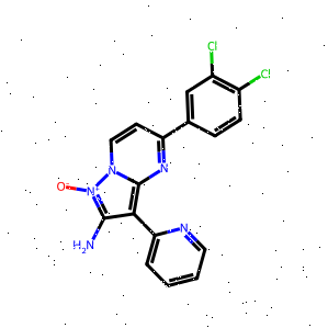 Nc1c(-c2ccccn2)c2nc(-c3ccc(Cl)c(Cl)c3)ccn2[n+]1[O-]